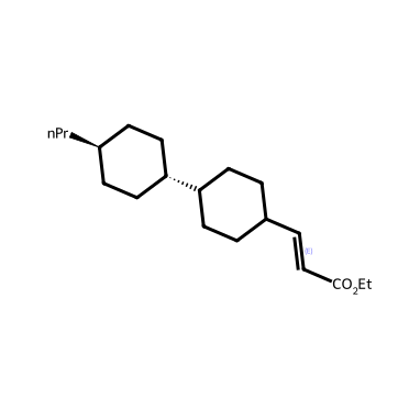 CCC[C@H]1CC[C@H](C2CCC(/C=C/C(=O)OCC)CC2)CC1